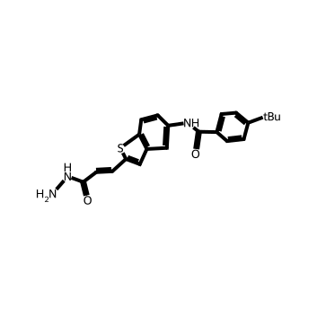 CC(C)(C)c1ccc(C(=O)Nc2ccc3sc(C=CC(=O)NN)cc3c2)cc1